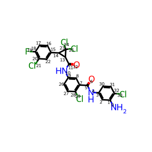 Nc1cc(NC(=O)c2cc(NC(=O)C3C(c4ccc(F)c(Cl)c4)C3(Cl)Cl)ccc2Cl)ccc1Cl